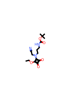 CCOc1c(N(CC#N)CCCNC(=O)OC(C)(C)C)c(=O)c1=O